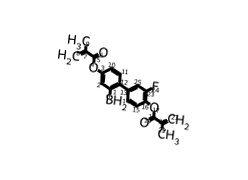 Bc1cc(OC(=O)C(=C)C)ccc1-c1ccc(OC(=O)C(=C)C)c(F)c1